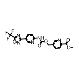 COC(=O)c1ccc(COC(=O)Nc2ccc(-c3noc(C(F)(F)F)n3)cn2)cn1